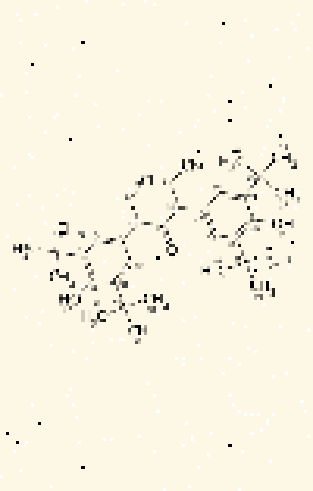 CC(C)(C)c1cc(C(CCl)C(=O)C(CCl)c2cc(C(C)(C)C)c(O)c(C(C)(C)C)c2)cc(C(C)(C)C)c1O